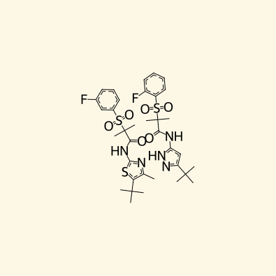 CC(C)(C)c1cc(NC(=O)C(C)(C)S(=O)(=O)c2ccccc2F)[nH]n1.Cc1nc(NC(=O)C(C)(C)S(=O)(=O)c2cccc(F)c2)sc1C(C)(C)C